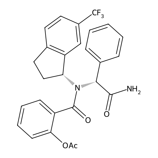 CC(=O)Oc1ccccc1C(=O)N([C@@H]1CCc2ccc(C(F)(F)F)cc21)[C@@H](C(N)=O)c1ccccc1